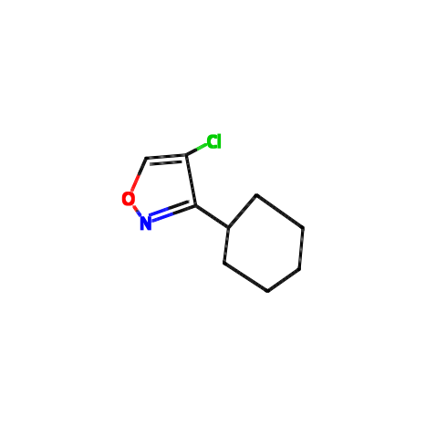 Clc1conc1C1CCCCC1